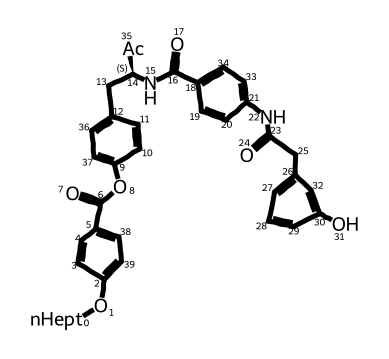 CCCCCCCOc1ccc(C(=O)Oc2ccc(C[C@H](NC(=O)c3ccc(NC(=O)Cc4cccc(O)c4)cc3)C(C)=O)cc2)cc1